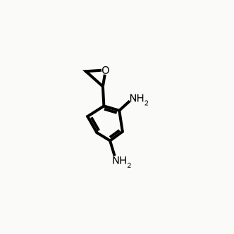 Nc1ccc(C2CO2)c(N)c1